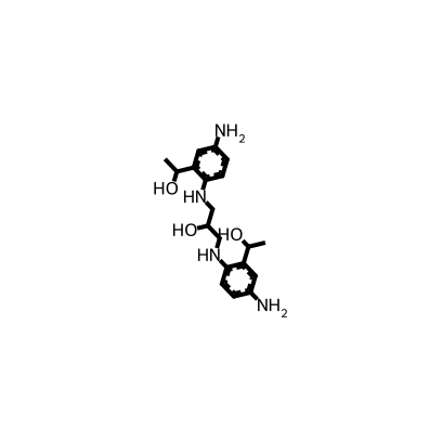 CC(O)c1cc(N)ccc1NCC(O)CNc1ccc(N)cc1C(C)O